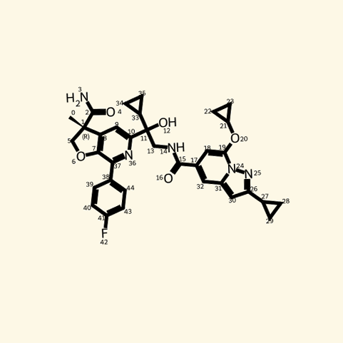 C[C@]1(C(N)=O)COc2c1cc(C(O)(CNC(=O)c1cc(OC3CC3)n3nc(C4CC4)cc3c1)C1CC1)nc2-c1ccc(F)cc1